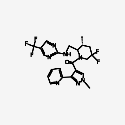 C[C@@H]1CC(F)(F)CN(C(=O)c2cn(C)nc2-c2ccccn2)C1CNc1ncc(C(F)(F)F)cn1